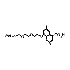 COCCOCCOCCOc1cc(C)cc2c(C(=O)O)cc(C)cc12